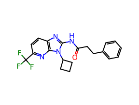 O=C(CCc1ccccc1)Nc1nc2ccc(C(F)(F)F)nc2n1C1CCC1